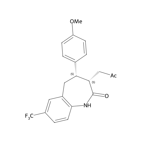 COc1ccc([C@H]2Cc3cc(C(F)(F)F)ccc3NC(=O)[C@H]2CC(C)=O)cc1